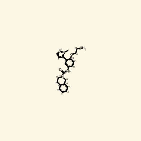 Cn1nccc1-c1cc(NC(=O)N2CCc3ccccc3C2)ccc1OCCN